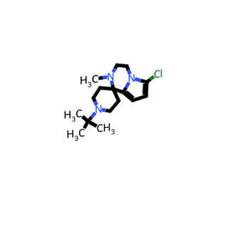 CN1CCn2c(Cl)ccc2C12CCN(C(C)(C)C)CC2